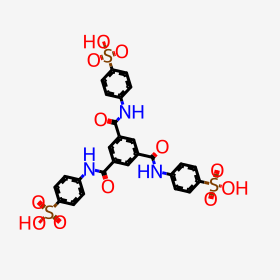 O=C(Nc1ccc(S(=O)(=O)O)cc1)c1cc(C(=O)Nc2ccc(S(=O)(=O)O)cc2)cc(C(=O)Nc2ccc(S(=O)(=O)O)cc2)c1